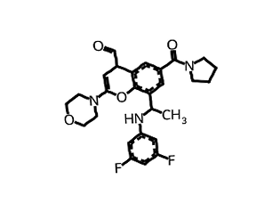 CC(Nc1cc(F)cc(F)c1)c1cc(C(=O)N2CCCC2)cc2c1OC(N1CCOCC1)=CC2C=O